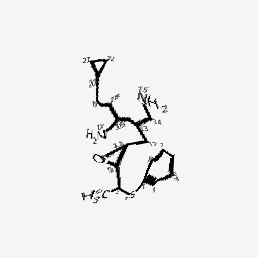 CC(Sc1ccccc1)C1OC1CC(CN)C(N)CCC1CC1